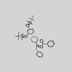 CC(C)(C)[Si](C)(C)Oc1ccc([C@H]2CC[C@H](N(Cc3ccccc3)OC(=O)c3ccccc3)CC2)c(O[Si](C)(C)C(C)(C)C)c1